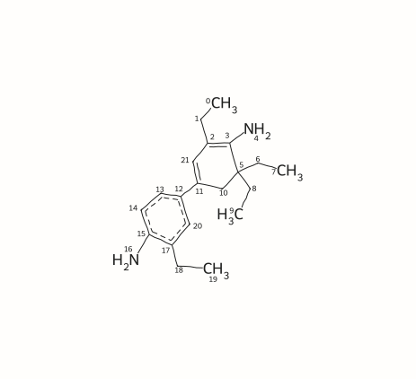 CCC1=C(N)C(CC)(CC)CC(c2ccc(N)c(CC)c2)=C1